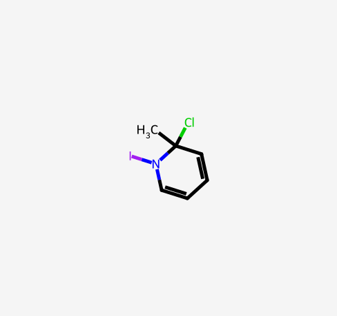 CC1(Cl)C=CC=CN1I